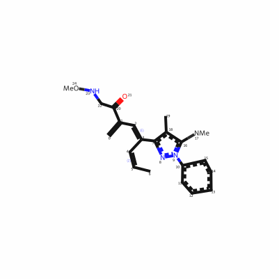 C=C(/C=C(\C=C/C)c1nn(-c2ccccc2)c(NC)c1C)C(=O)CNOC